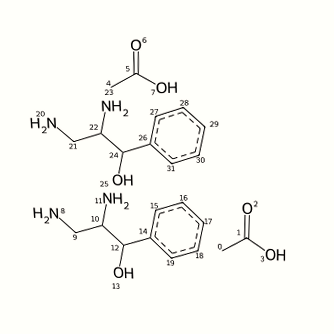 CC(=O)O.CC(=O)O.NCC(N)C(O)c1ccccc1.NCC(N)C(O)c1ccccc1